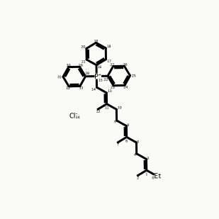 CC/C(C)=C/CC/C(C)=C/CC/C(C)=C/C[P+](c1ccccc1)(c1ccccc1)c1ccccc1.[Cl-]